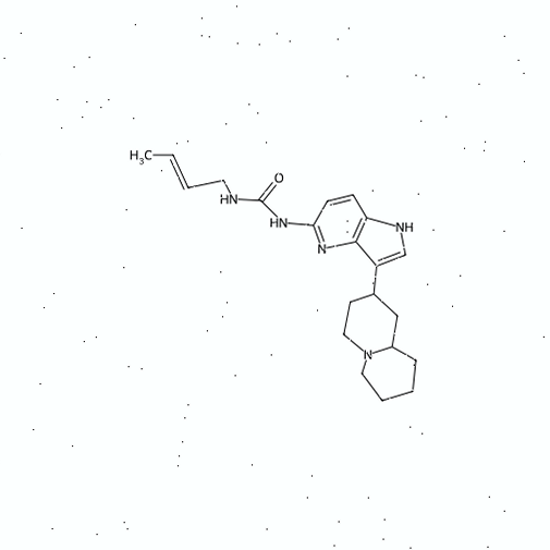 CC=CCNC(=O)Nc1ccc2[nH]cc(C3CCN4CCCCC4C3)c2n1